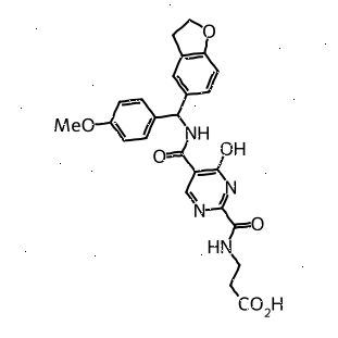 COc1ccc(C(NC(=O)c2cnc(C(=O)NCCC(=O)O)nc2O)c2ccc3c(c2)CCO3)cc1